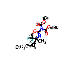 CCOC(=O)[C@H]1C[C@@H]1[C@@]1(C)N=C(N(C(=O)OC(C)(C)C)C(=O)OC(C)(C)C)OCC1(F)F